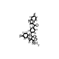 Cc1ccn2c(C(=O)c3ccc(N(C(=O)C4(C(N)=O)CC4)c4ccc(F)cc4)cc3)cnc2c1